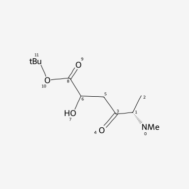 CN[C@@H](C)C(=O)CC(O)C(=O)OC(C)(C)C